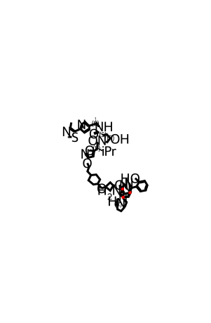 Cc1ncsc1-c1ccc([C@H](C)NC(=O)[C@@H]2C[C@@H](O)CN2C(=O)[C@H](c2cc(OCCC3CCC(OC4CC(Oc5cc(N6C7CC[C@@H]6CN(c6cc(-c8ccccc8O)nnc6N)C7)ccn5)C4)CC3)no2)C(C)C)cn1